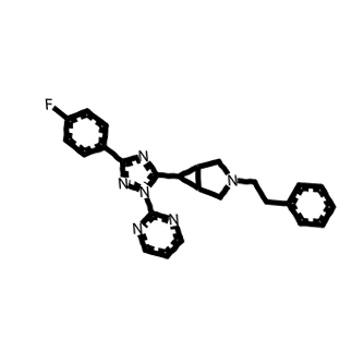 Fc1ccc(-c2nc(C3C4CN(CCc5ccccc5)CC43)n(-c3ncccn3)n2)cc1